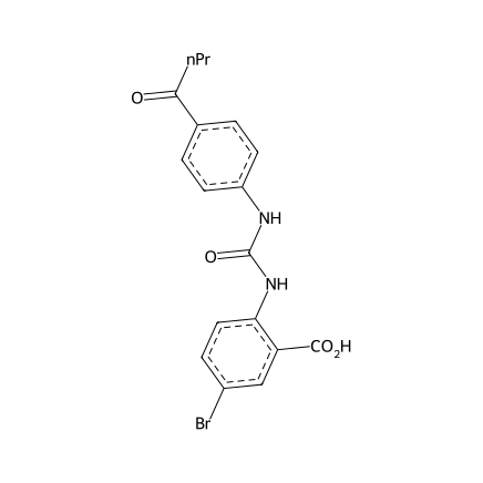 CCCC(=O)c1ccc(NC(=O)Nc2ccc(Br)cc2C(=O)O)cc1